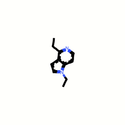 CCc1nccc2c1ccn2CC